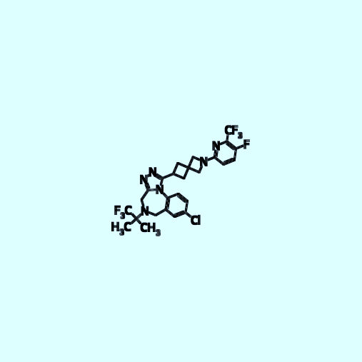 CC(C)(N1Cc2cc(Cl)ccc2-n2c(nnc2C2CC3(C2)CN(c2ccc(F)c(C(F)(F)F)n2)C3)C1)C(F)(F)F